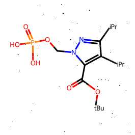 CC(C)c1nn(COP(=O)(O)O)c(C(=O)OC(C)(C)C)c1C(C)C